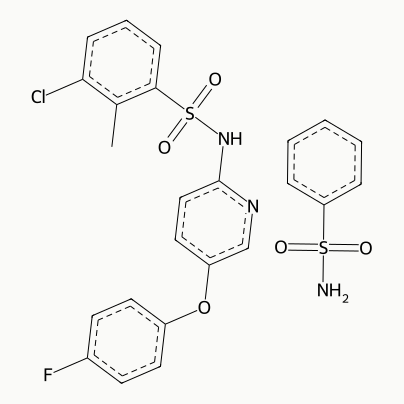 Cc1c(Cl)cccc1S(=O)(=O)Nc1ccc(Oc2ccc(F)cc2)cn1.NS(=O)(=O)c1ccccc1